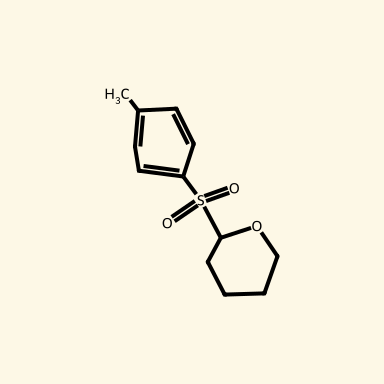 Cc1ccc(S(=O)(=O)C2CCCCO2)cc1